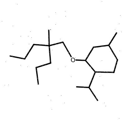 [CH2]C(CCC)(CCC)COC1CC(C)CCC1C(C)C